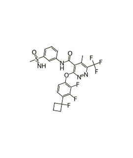 Cc1c(C(F)(F)F)nnc(Oc2ccc(C3(F)CCC3)c(F)c2F)c1C(=O)Nc1cccc(S(C)(=N)=O)c1